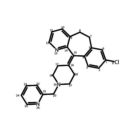 Clc1ccc2c(c1)CCc1cccnc1C2=C1CCN(Cc2ccccn2)CC1